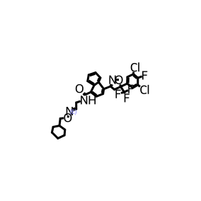 O=C(NC/C=N/OCC1CCCCC1)c1ccc(C2=NOC(c3cc(Cl)c(F)c(Cl)c3)(C(F)(F)F)C2)c2ccccc12